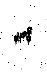 O=C(Nc1cn2nc(-c3c(-c4ccc(F)cc4)nn4c3CCCC4)ccc2n1)c1ccnc(F)c1